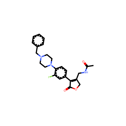 CC(=O)NCC1=C(c2ccc(N3CCN(Cc4ccccc4)CC3)c(F)c2)C(=O)OC1